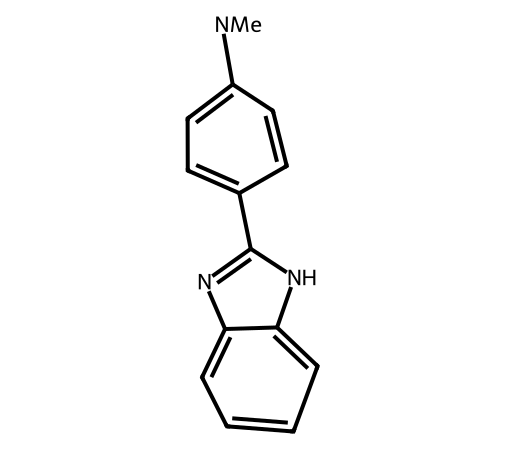 [CH2]Nc1ccc(-c2nc3ccccc3[nH]2)cc1